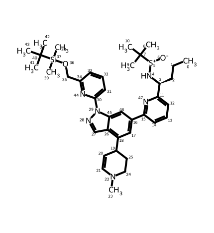 CCC[C@H](N[S+]([O-])C(C)(C)C)c1cccc(-c2cc(C3C=CN(C)CC3)c3cnn(-c4cccc(CO[Si](C)(C)C(C)(C)C)n4)c3c2)n1